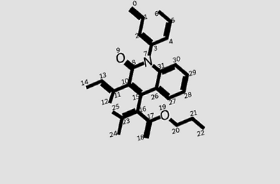 C=C/C=C(\C=C/C)n1c(=O)c(/C(C)=C/C)c(C(C(=C)OCCC)=C(C)C)c2ccccc21